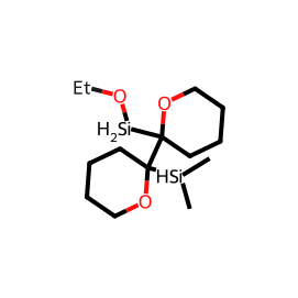 CCO[SiH2]C1(C2([SiH](C)C)CCCCO2)CCCCO1